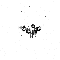 CC1CN(c2ccc(Nc3ncc4c5ccncc5n(C5CCCC5)c4n3)nn2)CCN1